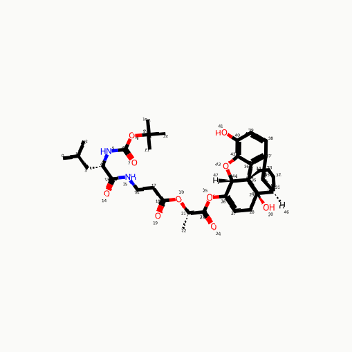 CC(C)C[C@H](NC(=O)OC(C)(C)C)C(=O)NCCC(=O)O[C@@H](C)C(=O)OC1=CC[C@@]2(O)[C@@H]3CCC[C@@]24c2c(ccc(O)c2O[C@@H]14)C3